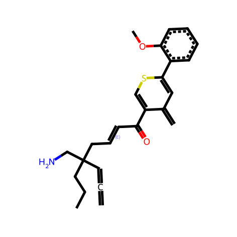 C=C=CC(CN)(C/C=C/C(=O)C1=CSC(c2ccccc2OC)=CC1=C)CCC